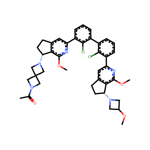 COc1nc(-c2cccc(-c3cccc(-c4cc5c(c(OC)n4)[C@H](N4CC6(CN(C(C)=O)C6)C4)CC5)c3Cl)c2Cl)cc2c1[C@H](N1CC(OC)C1)CC2